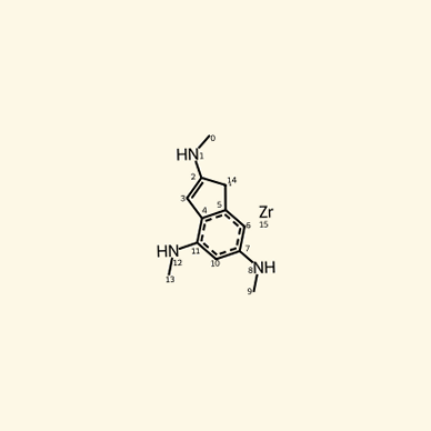 CNC1=Cc2c(cc(NC)cc2NC)[CH]1.[Zr]